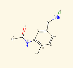 CCC(=O)Nc1cc(CNCl)ccc1C